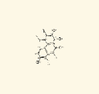 CCn1c(I)c(Br)c(=O)c(C(=O)OC)c1-c1ccc(Cl)c(Cl)c1